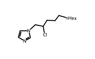 CCCCCCCCCC(Cl)Cn1ccnc1